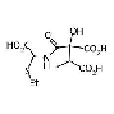 CCSC(NC(=O)C(O)(C(=O)O)C(C)C(=O)O)C(=O)O